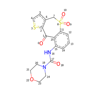 O=C1c2sccc2CS(=O)(=O)c2cccc(NC(=O)N3CCOCC3)c21